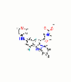 COC(=O)N1CCOC(Cc2c(-c3c(F)cc(NC4CCOCC4)cc3F)nc3cc(C)ccn23)C1